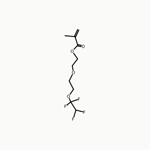 C=C(C)C(=O)OCCOCCOC(F)(F)C(F)F